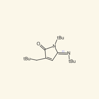 CC(C)(C)CC1=C/C(=N\C(C)(C)C)N(C(C)(C)C)C1=O